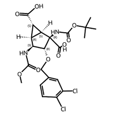 COC(=O)N[C@H]1[C@H]2[C@H](C(=O)O)[C@H]2[C@](NC(=O)OC(C)(C)C)(C(=O)O)[C@@H]1OCc1ccc(Cl)c(Cl)c1